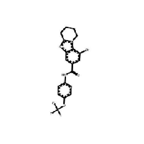 O=C(Nc1ccc(OC(F)(F)Cl)cc1)c1cc(Br)c2c(c1)nc1n2CCCC1